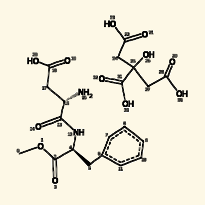 COC(=O)[C@H](Cc1ccccc1)NC(=O)[C@@H](N)CC(=O)O.O=C(O)CC(O)(CC(=O)O)C(=O)O